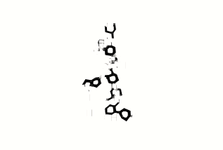 CC1(C)CCC(CN2CCN(c3ccc(C(=O)NS(=O)(=O)c4ccc(NCC5CCOCC5)c([N+](=O)[O-])c4)c(Oc4ccc5[nH]ccc5c4)c3)CC2CO)=C(c2ccc(Cl)cc2)C1